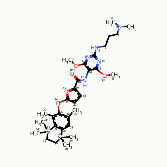 COc1nc(NCCCN(C)C)nc(OC)c1NC(=O)c1ccc(Oc2c(C)cc3c(c2C)[Si](C)(C)CC[Si]3(C)C)o1